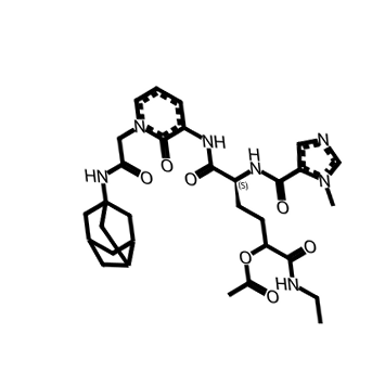 CCNC(=O)C(CC[C@H](NC(=O)c1cncn1C)C(=O)Nc1cccn(CC(=O)NC23CC4CC(C2)C(C4)C3)c1=O)OC(C)=O